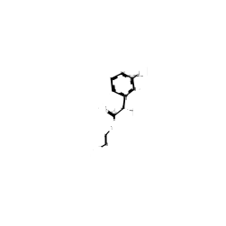 CCCOC(=O)[C@H](F)c1cccc(Cl)c1